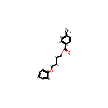 Cc1ccc(C(=O)OCCCCOc2ccccc2)cc1